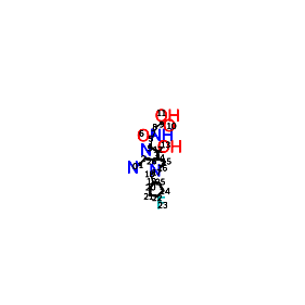 N#Cc1nc(C(=O)NCC(=O)O)c(O)c2ccn(Cc3ccc(F)cc3)c12